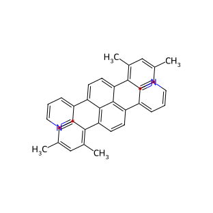 Cc1ccc(-c2ccc(-c3cccnc3)c3c(-c4ccc(C)cc4C)ccc(-c4cccnc4)c23)c(C)c1